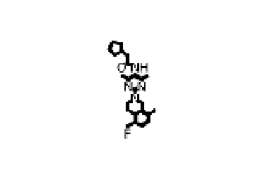 Cc1ccc(CF)c2c1CN(c1nc(C)c(NC(=O)CC3CCCC3)c(C)n1)CC2